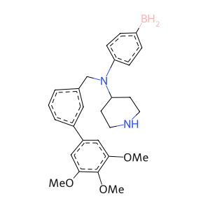 Bc1ccc(N(Cc2cccc(-c3cc(OC)c(OC)c(OC)c3)c2)C2CCNCC2)cc1